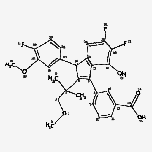 COCC(C)(C)c1c(-c2cccc(C(=O)O)c2)c2c(O)c(F)c(F)cc2n1-c1ccc(F)c(OC)c1